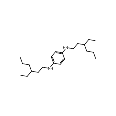 CCCC(CC)CCNc1ccc(NCCC(CC)CCC)cc1